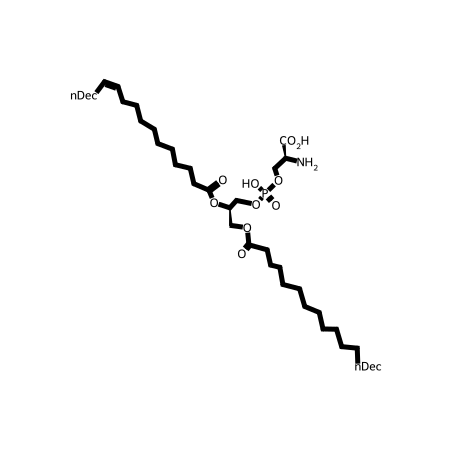 CCCCCCCCCC/C=C\CCCCCCCCCC(=O)O[C@H](COC(=O)CCCCCCCCCCCCCCCCCCCCC)COP(=O)(O)OC[C@H](N)C(=O)O